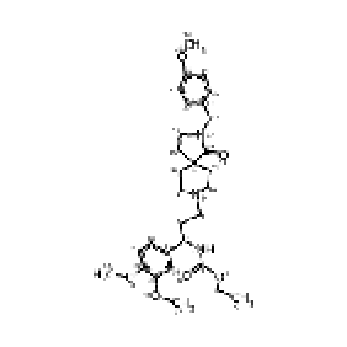 CCOC(=O)NC(CCN1CCC2(CC1)CCN(Cc1ccc(OC)cc1)C2=O)c1ccc(OC)c(OC)c1